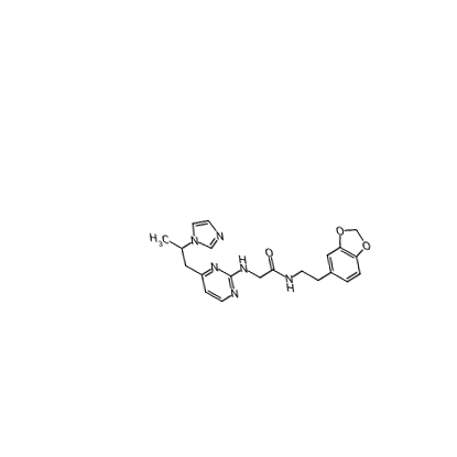 CC(Cc1ccnc(NCC(=O)NCCc2ccc3c(c2)OCO3)n1)n1ccnc1